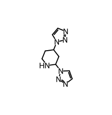 c1cn(C2CCNC(n3ccnn3)C2)nn1